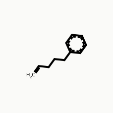 C=CCCCc1c[c]ccc1